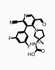 C[C@]1(NC(=O)O)CCN(c2c(C=O)cnc(C#N)c2-c2cc(F)cc(F)c2)C1